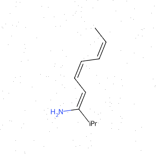 C\C=C/C=C\C=C(/N)C(C)C